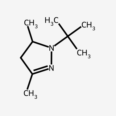 CC1=NN(C(C)(C)C)C(C)C1